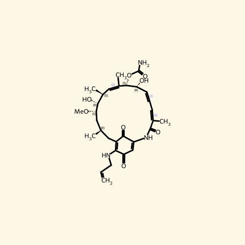 C=CCNC1=C2C[C@@H](C)C[C@H](OC)[C@H](O)[C@@H](C)/C=C(/C)[C@H](OC(N)=O)[C@H](O)/C=C\C=C(\C)C(=O)NC(=CC1=O)C2=O